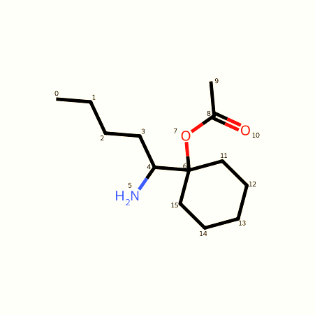 CCCCC(N)C1(OC(C)=O)CCCCC1